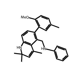 COc1ccc(C)cc1-c1ccc2c(c1CNc1ccccc1)C(C)=CC(C)(C)N2